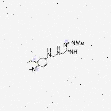 C/C=C1/C=C(NCNCC(=N)/N=C\NC)C=C/C1=N/C